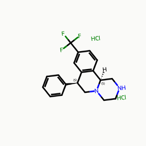 Cl.Cl.FC(F)(F)c1ccc2c(c1)[C@H](c1ccccc1)CN1CCNC[C@H]21